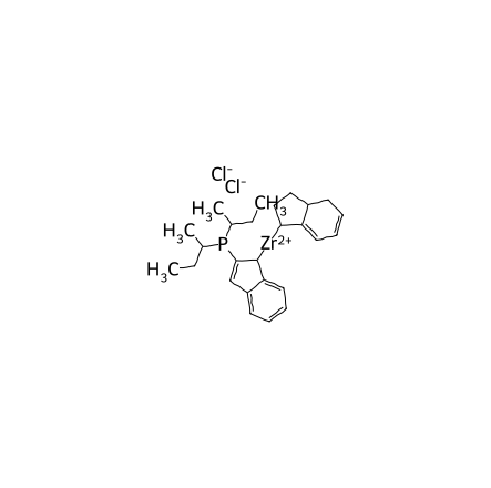 CCC(C)P(C1=Cc2ccccc2[CH]1[Zr+2][CH]1CCC2CC=CC=C21)C(C)CC.[Cl-].[Cl-]